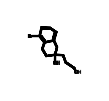 OCCCC1(O)CCc2c(Br)cccc2C1